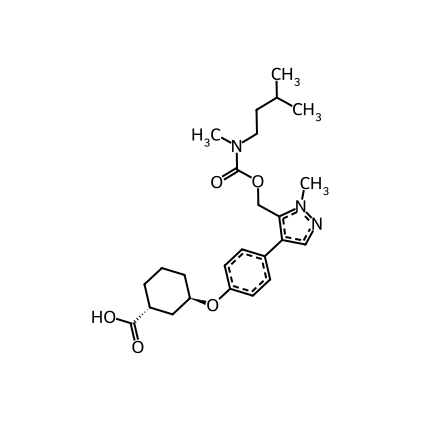 CC(C)CCN(C)C(=O)OCc1c(-c2ccc(O[C@@H]3CCC[C@@H](C(=O)O)C3)cc2)cnn1C